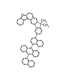 CC1(C)c2ccc(-c3ccc(-c4c5ccccc5c(-c5cccc6ccccc56)c5ccccc45)c4ccccc34)cc2-c2cc3c(ccc4oc5ccccc5c43)cc21